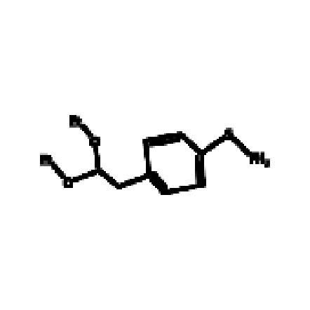 CCOC(Cc1ccc(SP)cc1)OCC